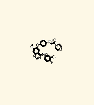 COc1cc2ncnc(Nc3ccc(F)c(Cl)c3)c2cc1O[C@H]1CC[C@@H](NCC(=O)N2CCOCC2)CC1